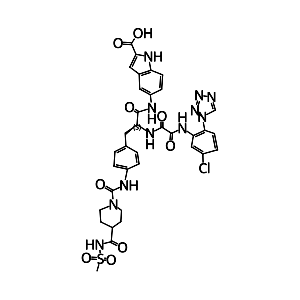 CS(=O)(=O)NC(=O)C1CCN(C(=O)Nc2ccc(C[C@H](NC(=O)C(=O)Nc3cc(Cl)ccc3-n3cnnn3)C(=O)Nc3ccc4[nH]c(C(=O)O)cc4c3)cc2)CC1